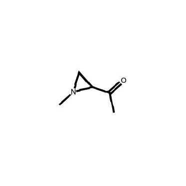 CC(=O)C1CN1C